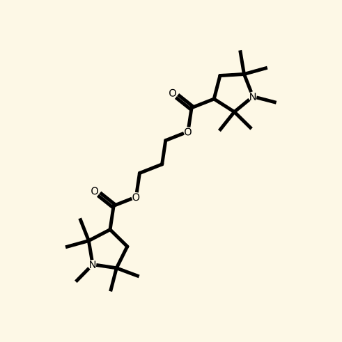 CN1C(C)(C)CC(C(=O)OCCCOC(=O)C2CC(C)(C)N(C)C2(C)C)C1(C)C